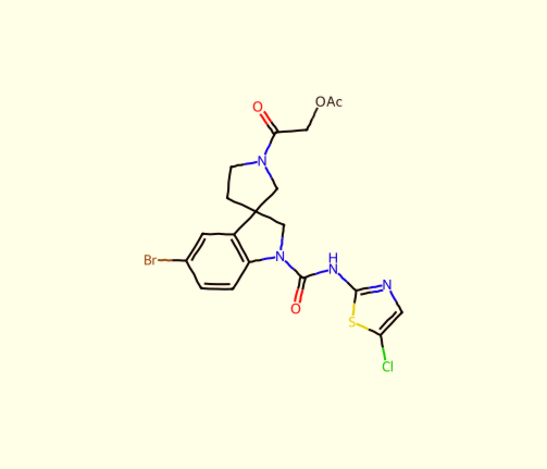 CC(=O)OCC(=O)N1CCC2(C1)CN(C(=O)Nc1ncc(Cl)s1)c1ccc(Br)cc12